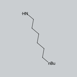 CCCCCCCCCC[NH]